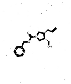 C=CC[C@@H]1CN(C(=O)OCc2ccccc2)C[C@H]1CO